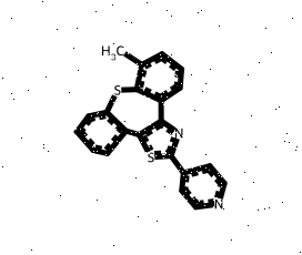 Cc1cccc2c1Sc1ccccc1-c1sc(-c3ccncc3)nc1-2